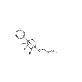 COCOC12CCC(c3ccccc3)(CC1)C(F)(F)C2F